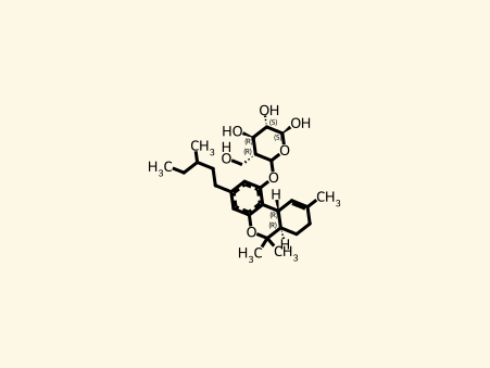 CCC(C)CCc1cc(OC2O[C@H](O)[C@@H](O)[C@H](O)[C@H]2CO)c2c(c1)OC(C)(C)[C@@H]1CCC(C)=C[C@@H]21